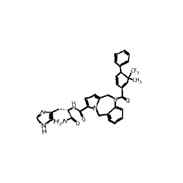 CC1(C(F)(F)F)C=C(C(=O)N2Cc3ccc(C(=O)N[C@@H](Cc4c[nH]cn4)C(N)=O)n3Cc3ccccc32)C=CC1c1ccccc1